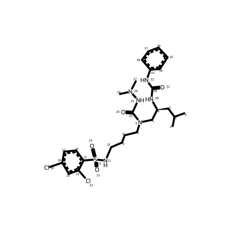 CC(C)C[C@@H](CN(CCCCNS(=O)(=O)c1ccc(Cl)cc1Cl)C(=O)NN(C)C)NC(=O)Nc1ccccc1